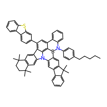 CCCCCc1ccc(N2B3c4cc5c(cc4-n4c6cc7c(cc6c6c(-c8ccc9c(c8)sc8ccccc89)cc(c3c64)-c3ccccc32)C(C)(C)CCC7(C)C)-c2ccccc2C5(C)C)cc1